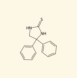 S=C1NCC(c2ccccc2)(c2ccccc2)N1